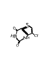 O=c1[nH]c(=O)c2scc(Cl)c2[nH]1